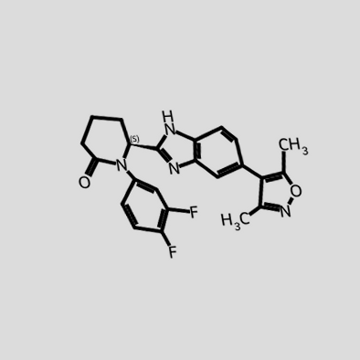 Cc1noc(C)c1-c1ccc2[nH]c([C@@H]3CCCC(=O)N3c3ccc(F)c(F)c3)nc2c1